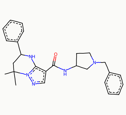 CC1(C)CC(c2ccccc2)Nc2c(C(=O)NC3CCN(Cc4ccccc4)C3)cnn21